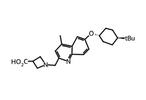 Cc1cc(CN2CC(C(=O)O)C2)nc2ccc(O[C@H]3CC[C@H](C(C)(C)C)CC3)cc12